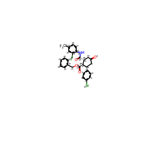 O=C1C[C@H](c2ccc(Br)cc2)[C@@H](C(=O)OCc2ccccc2)[C@H](C(=O)Nc2ccc(C(F)(F)F)cc2F)C1